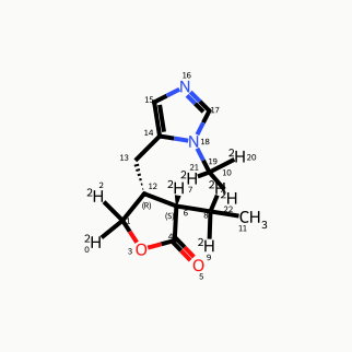 [2H]C1([2H])OC(=O)[C@@]([2H])(C([2H])([2H])C)[C@H]1Cc1cncn1C([2H])([2H])[2H]